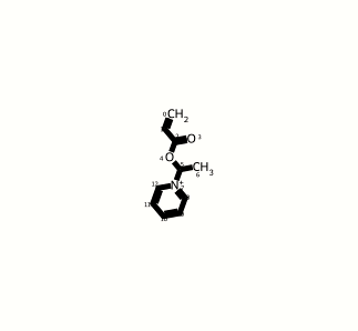 C=CC(=O)OC(C)[n+]1ccccc1